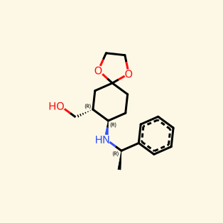 C[C@@H](N[C@@H]1CCC2(C[C@H]1CO)OCCO2)c1ccccc1